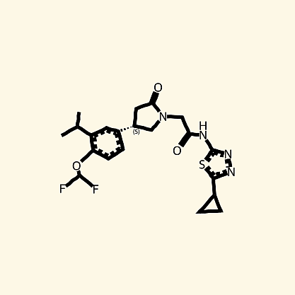 CC(C)c1cc([C@@H]2CC(=O)N(CC(=O)Nc3nnc(C4CC4)s3)C2)ccc1OC(F)F